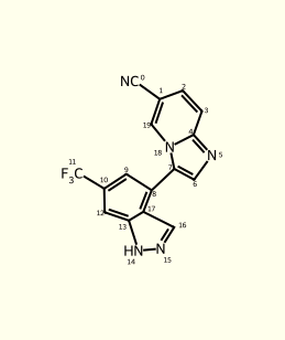 N#Cc1ccc2ncc(-c3cc(C(F)(F)F)cc4[nH]ncc34)n2c1